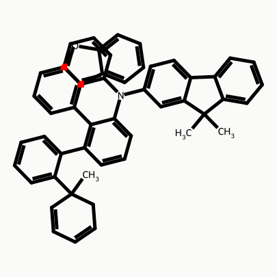 CC1(c2ccccc2-c2cccc(N(c3ccccc3)c3ccc4c(c3)C(C)(C)c3ccccc3-4)c2-c2cccc3oc4ccccc4c23)C=CC=CC1